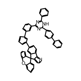 c1ccc(C2=NC(c3cccc(-c4cccc(-c5ccc6c(c5)C5(c7ccccc7Oc7ccccc75)c5cccnc5-6)c4)c3)=NC(c3ccc(-c4ccccc4)cc3)N2)cc1